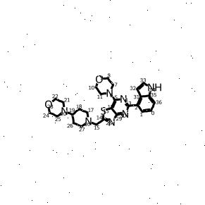 c1cc(-c2nc(N3CCOCC3)c3sc(CN4CCC(N5CCOCC5)CC4)nc3n2)c2cc[nH]c2c1